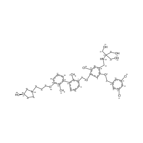 Cc1c(COc2cc(OCc3cc(Cl)cc(Cl)c3)c(CNC(CO)(CO)CO)cc2Cl)cccc1-c1cccc(OCCCN2CC[C@@H](O)C2)c1C